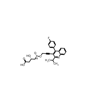 CC(C)c1nc2ccccc2c(-c2ccc(F)cc2)c1C#CCO[PH](=O)C[C@@H](O)CC(=O)O